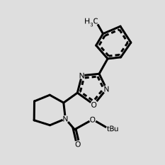 Cc1cccc(-c2noc(C3CCCCN3C(=O)OC(C)(C)C)n2)c1